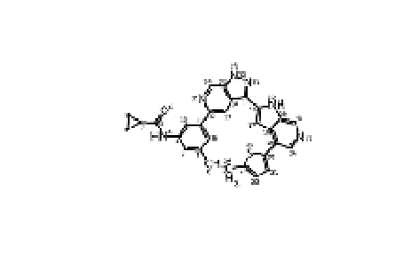 Cc1cc(NC(=O)C2CC2)cc(-c2cc3c(-c4cc5c(-c6ccc(C)s6)cncc5[nH]4)n[nH]c3cn2)c1